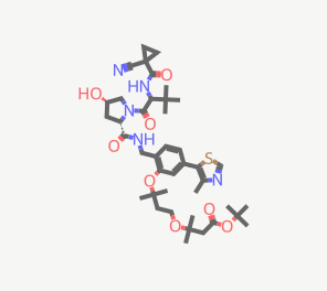 Cc1ncsc1-c1ccc(CNC(=O)[C@@H]2C[C@@H](O)CN2C(=O)C(NC(=O)C2(C#N)CC2)C(C)(C)C)c(OC(C)(C)CCOC(C)(C)CC(=O)OC(C)(C)C)c1